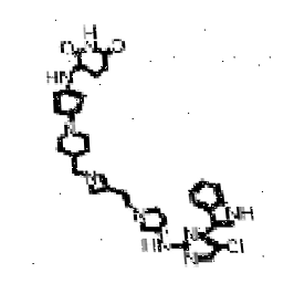 O=C1CCC(Nc2ccc(N3CCC(CN4CC(CCN5CC[C@@H](Nc6ncc(Cl)c(-c7c[nH]c8ccccc78)n6)C5)C4)CC3)cc2)C(=O)N1